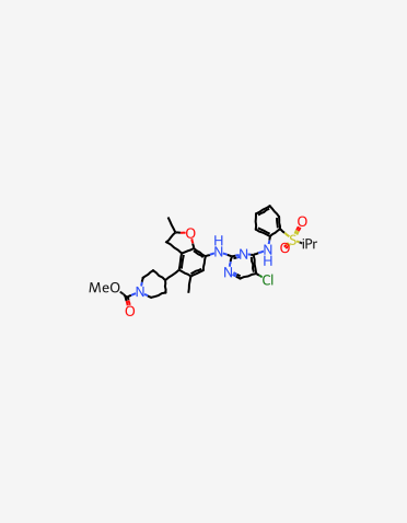 COC(=O)N1CCC(c2c(C)cc(Nc3ncc(Cl)c(Nc4ccccc4S(=O)(=O)C(C)C)n3)c3c2CC(C)O3)CC1